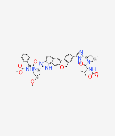 COC[C@H]1C[C@@H](c2nc3ccc4cc5c(cc4c3[nH]2)OCc2cc(-c3cnc([C@@H]4C[C@H](C)CN4C(=O)C(NC(=O)OC)C(C)C)[nH]3)ccc2-5)N(C(=O)[C@H](NC(=O)OC)c2ccccc2)C1